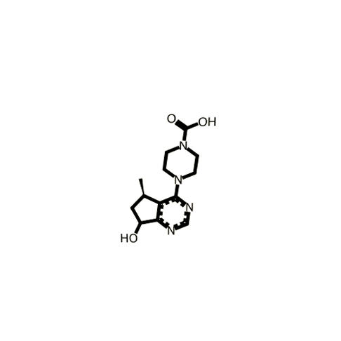 C[C@@H]1CC(O)c2ncnc(N3CCN(C(=O)O)CC3)c21